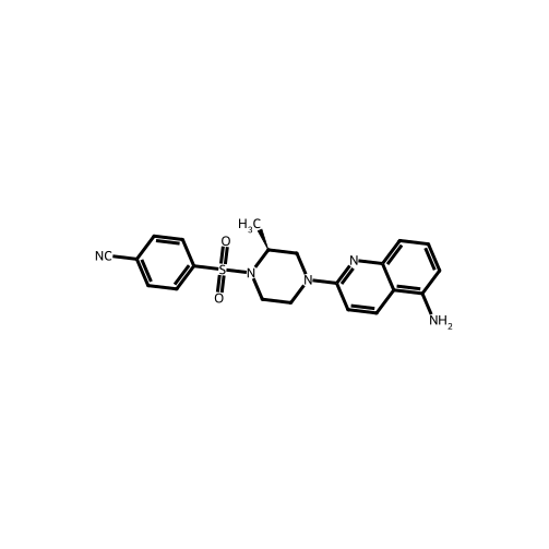 C[C@H]1CN(c2ccc3c(N)cccc3n2)CCN1S(=O)(=O)c1ccc(C#N)cc1